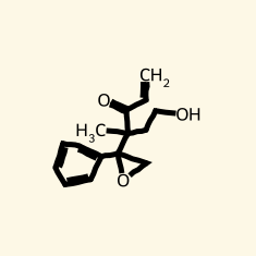 C=CC(=O)C(C)(CCO)C1(c2ccccc2)CO1